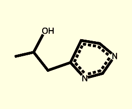 CC(O)Cc1ccncn1